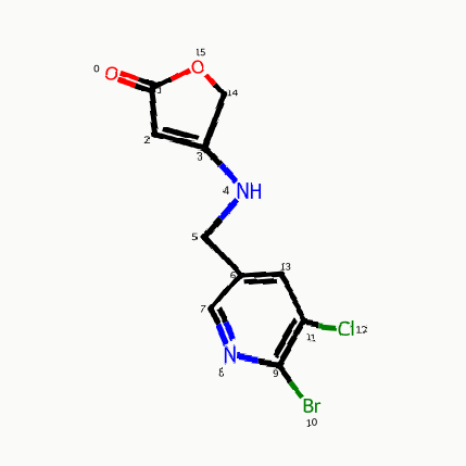 O=C1C=C(NCc2cnc(Br)c(Cl)c2)CO1